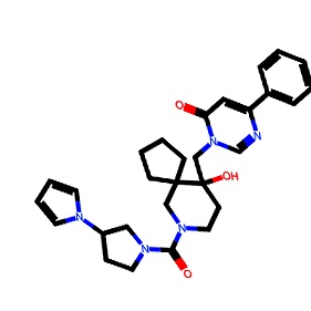 O=C(N1CCC(n2cccc2)C1)N1CCC(O)(Cn2cnc(-c3ccccc3)cc2=O)C2(CCCC2)C1